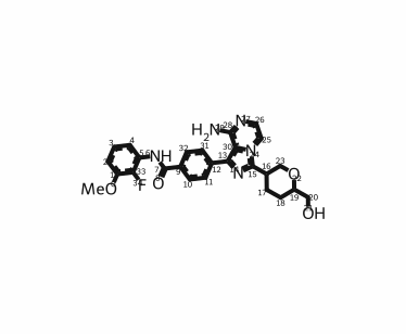 COc1cccc(NC(=O)c2ccc(-c3nc(C4CCC(CO)OC4)n4ccnc(N)c34)cc2)c1F